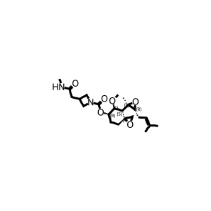 CNC(=O)CC1CN(C(=O)O[C@@H]2CC[C@]3(CO3)[C@@H]([C@@]3(C)O[C@@H]3CC=C(C)C)[C@@H]2OC)C1